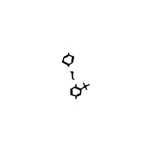 CC(C)(C)c1cc(Br)ccc1OCC(=O)Nc1ccc(O)cc1